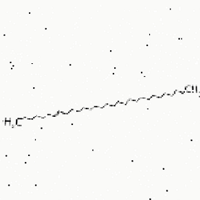 [CH2]CCCCCC=CCCCCCCCCCCCCCCCCCCCCC[CH2]